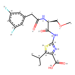 COC[C@H](NC(=O)Cc1cc(F)cc(F)c1)C(=O)Nc1nc(C(=O)O)c(C(C)C)s1